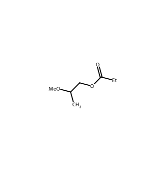 CCC(=O)OCC(C)OC